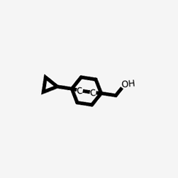 OCC12CCC(C3CC3)(CC1)CC2